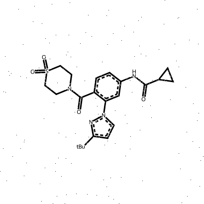 CC(C)(C)c1ccn(-c2cc(NC(=O)C3CC3)ccc2C(=O)N2CCS(=O)(=O)CC2)n1